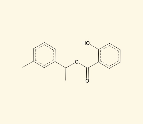 Cc1cccc(C(C)OC(=O)c2ccccc2O)c1